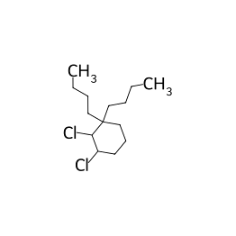 CCCCC1(CCCC)CCCC(Cl)C1Cl